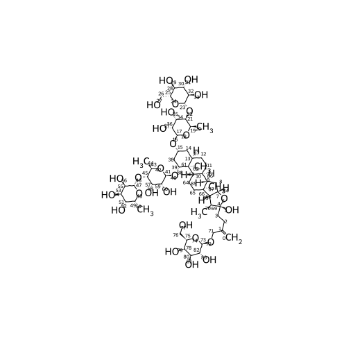 C=C(CC[C@@]1(O)O[C@H]2C[C@H]3[C@@H]4CC[C@@H]5C[C@@H](O[C@@H]6O[C@H](C)[C@H](O[C@@H]7O[C@H](CO)[C@@H](O)[C@H](O)[C@H]7O)[C@@H](O)[C@H]6O)C[C@@H](O[C@@H]6O[C@H](C)[C@@H](O[C@@H]7O[C@H](C)[C@H](O)[C@@H](O)[C@H]7O)[C@@H](O)[C@H]6O)[C@]5(C)[C@H]4CC[C@]3(C)[C@H]2[C@@H]1C)CO[C@@H]1O[C@H](CO)[C@H](O)[C@H](O)[C@H]1O